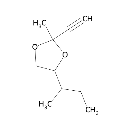 C#CC1(C)OCC(C(C)CC)O1